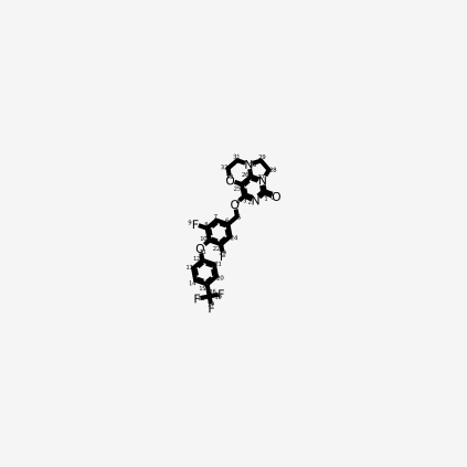 O=c1nc(OCc2cc(F)c(Oc3ccc(C(F)(F)F)cc3)c(F)c2)c2c3n1CCN3CCO2